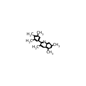 Cc1cc(C)c2cc(C)c(-c3cc(C)c(C)c(C)c3)nc2c1